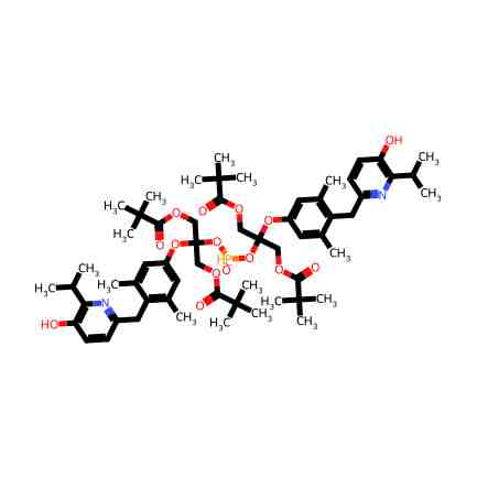 Cc1cc(OC(COC(=O)C(C)(C)C)(COC(=O)C(C)(C)C)O[PH](=O)OC(COC(=O)C(C)(C)C)(COC(=O)C(C)(C)C)Oc2cc(C)c(Cc3ccc(O)c(C(C)C)n3)c(C)c2)cc(C)c1Cc1ccc(O)c(C(C)C)n1